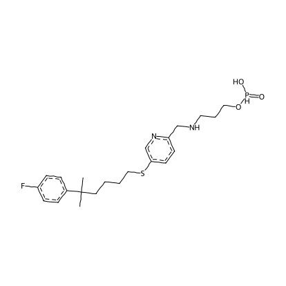 CC(C)(CCCCSc1ccc(CNCCCO[PH](=O)O)nc1)c1ccc(F)cc1